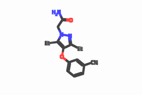 CCc1nn(CC(N)=O)c(CC)c1Oc1cccc(C#N)c1